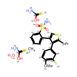 C.CCCc1scc(-c2ccccc2S(N)(=O)=O)c1-c1ccc(OC)c(F)c1.NC(O)=S.NC(O)=S.O